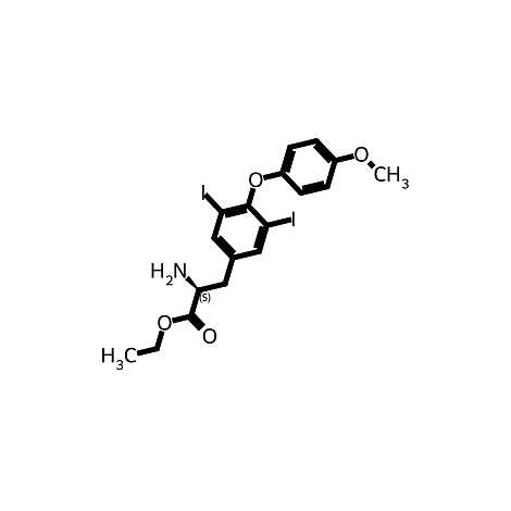 CCOC(=O)[C@@H](N)Cc1cc(I)c(Oc2ccc(OC)cc2)c(I)c1